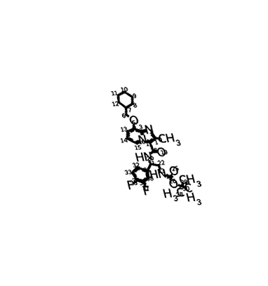 Cc1nc2c(OCC3CCCCC3)cccn2c1C(=O)NC(CNC(=O)OC(C)(C)C)c1ccc(F)c(F)c1